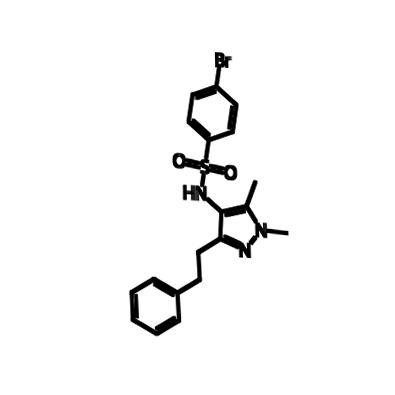 Cc1c(NS(=O)(=O)c2ccc(Br)cc2)c(CCc2ccccc2)nn1C